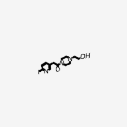 O=C(Cc1ccc(I)nc1)N1CCN(CCO)CC1